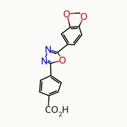 O=C(O)c1ccc(-c2nnc(-c3ccc4c(c3)OCO4)o2)cc1